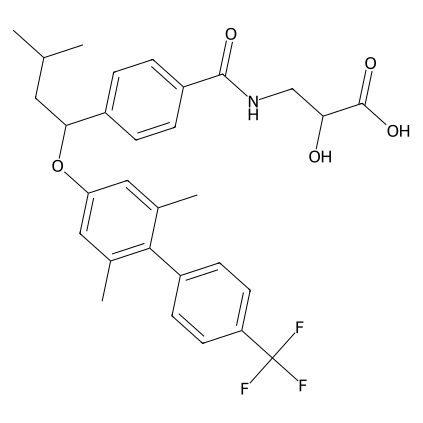 Cc1cc(OC(CC(C)C)c2ccc(C(=O)NCC(O)C(=O)O)cc2)cc(C)c1-c1ccc(C(F)(F)F)cc1